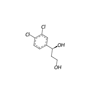 OCC[C@H](O)c1ccc(Cl)c(Cl)c1